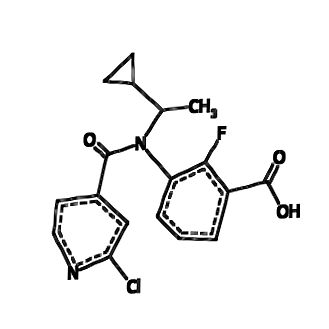 CC(C1CC1)N(C(=O)c1ccnc(Cl)c1)c1cccc(C(=O)O)c1F